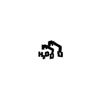 O.[Li][CH2]C(C)C.[Li][CH2]C(C)C